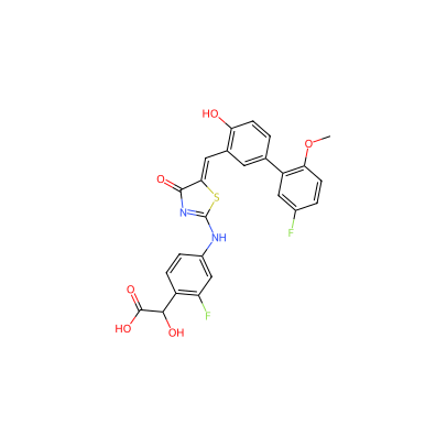 COc1ccc(F)cc1-c1ccc(O)c(C=C2SC(Nc3ccc(C(O)C(=O)O)c(F)c3)=NC2=O)c1